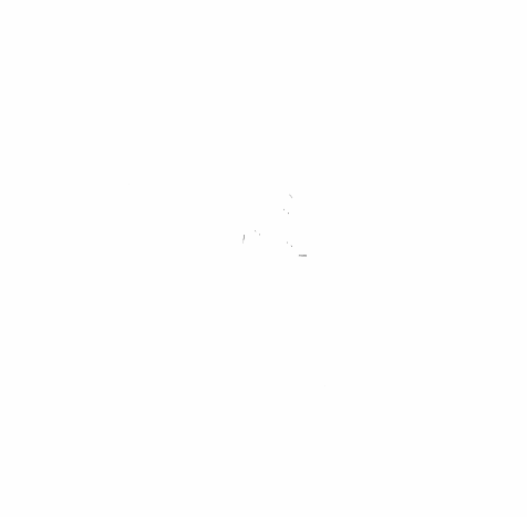 CCCCCCCCCCCC(=O)N1CCN(C(=O)CCCCCCCCCCC)CCN(C(=O)CCCCCCCCCCC)CC1